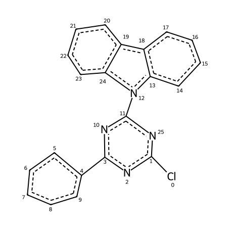 Clc1nc(-c2ccccc2)nc(-n2c3ccccc3c3ccccc32)n1